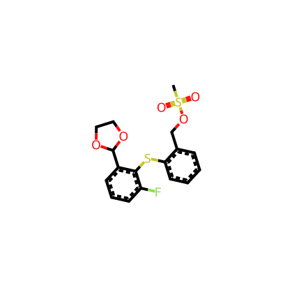 CS(=O)(=O)OCc1ccccc1Sc1c(F)cccc1C1OCCO1